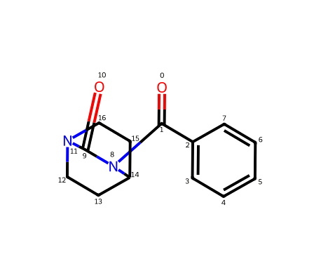 O=C(c1ccccc1)N1C(=O)N2CCC1CC2